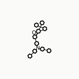 c1ccc(-c2ccc(N(c3ccc(-c4ccccc4)cc3)c3ccc(-c4ccc5oc6cc7c(cc6c5c4)-c4ccccc4C7(c4ccccc4)c4ccccc4)cc3)cc2)cc1